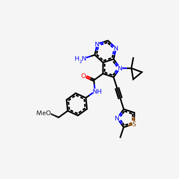 COCc1ccc(NC(=O)c2c(C#Cc3csc(C)n3)n(C3(C)CC3)c3ncnc(N)c23)cc1